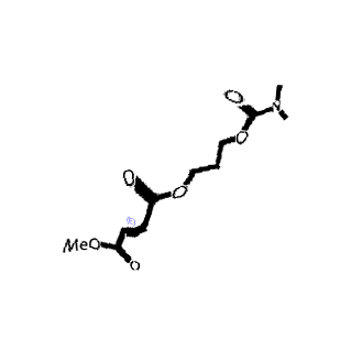 COC(=O)/C=C/C(=O)OCCCOC(=O)N(C)C